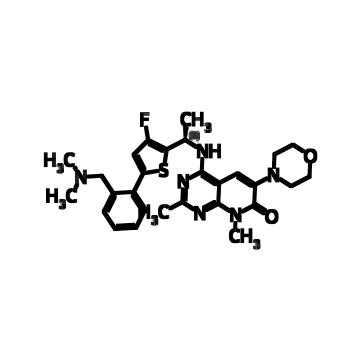 Cc1nc(N[C@H](C)c2sc(-c3ccccc3CN(C)C)cc2F)c2cc(N3CCOCC3)c(=O)n(C)c2n1